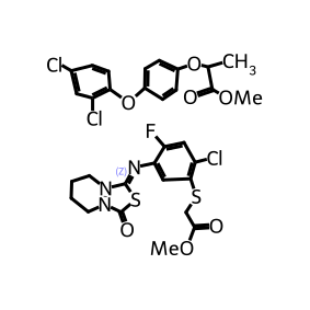 COC(=O)C(C)Oc1ccc(Oc2ccc(Cl)cc2Cl)cc1.COC(=O)CSc1cc(/N=c2\sc(=O)n3n2CCCC3)c(F)cc1Cl